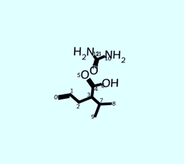 C=CCC(C(=O)O)C(C)C.NC(N)=O